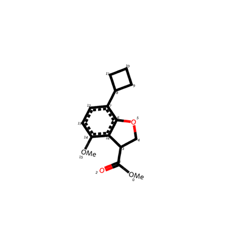 COC(=O)C1COc2c(C3CCC3)ccc(OC)c21